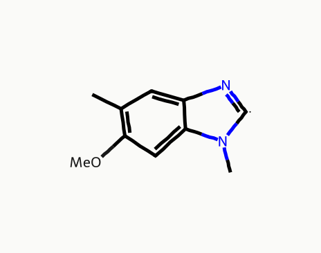 COc1cc2c(cc1C)n[c]n2C